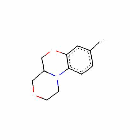 CCCc1ccc2c(c1)OCC1COCCN21